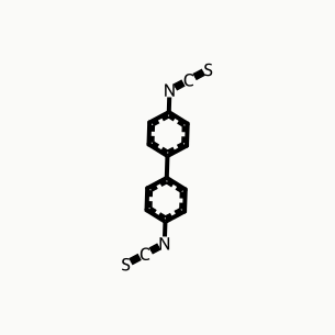 S=C=Nc1ccc(-c2ccc(N=C=S)cc2)cc1